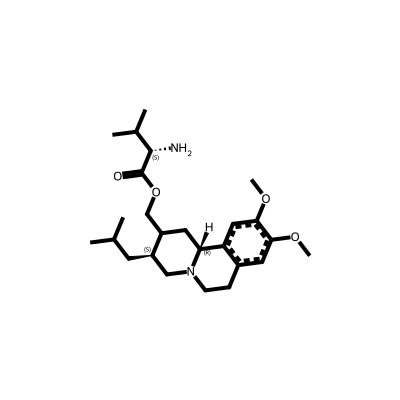 COc1cc2c(cc1OC)[C@H]1CC(COC(=O)[C@@H](N)C(C)C)[C@H](CC(C)C)CN1CC2